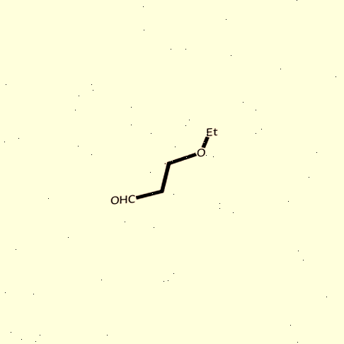 CCO[CH]CC=O